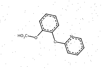 O=C(O)Oc1ccccc1Oc1ccccn1